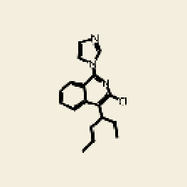 CCCC(CC)c1c(Cl)nc(-n2ccnc2)c2ccccc12